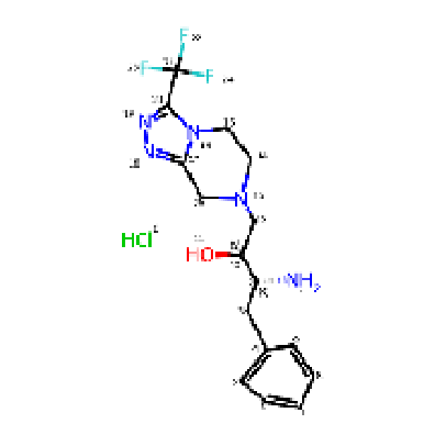 Cl.N[C@H](Cc1ccccc1)[C@@H](O)CN1CCn2c(nnc2C(F)(F)F)C1